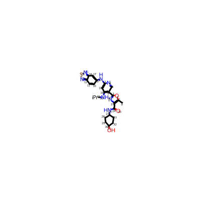 Cc1oc(-c2cnc(Nc3ccc4nsnc4c3)cc2NC(C)C)nc1C(=O)NC1CCC(O)CC1